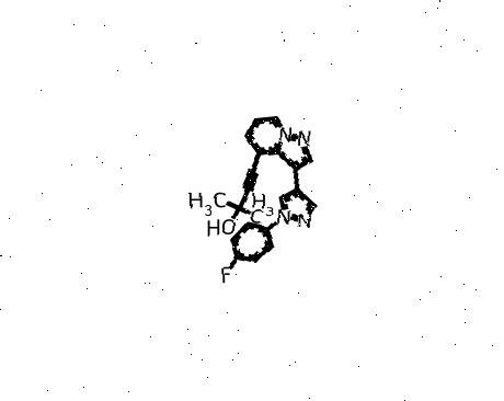 CC(C)(O)C#Cc1cccn2ncc(-c3cnn(-c4ccc(F)cc4)c3)c12